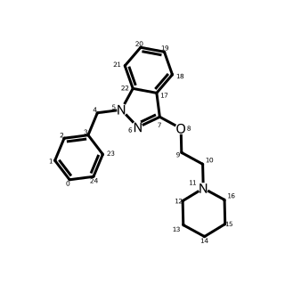 c1ccc(Cn2nc(OCCN3CCCCC3)c3ccccc32)cc1